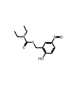 CCN(CC)C(=S)SCc1cc(N=O)ccc1O